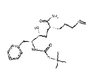 C=CCCC[C@H](C[C@@H](O)[C@H](Cc1ccccc1)NC(=O)OC(C)(C)C)C(N)=O